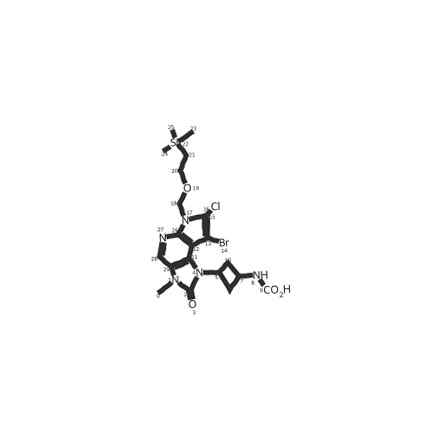 Cn1c(=O)n(C2CC(NC(=O)O)C2)c2c3c(Br)c(Cl)n(COCC[Si](C)(C)C)c3ncc21